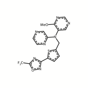 COc1ncncc1N(Cc1ccc(-c2noc(C(F)(F)F)n2)s1)c1cnccn1